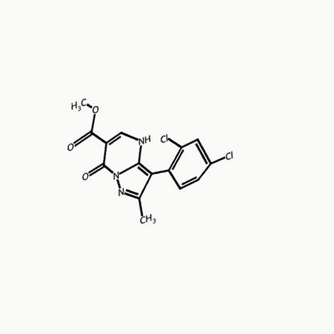 COC(=O)c1c[nH]c2c(-c3ccc(Cl)cc3Cl)c(C)nn2c1=O